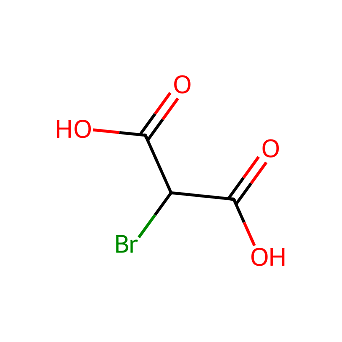 O=C(O)C(Br)C(=O)O